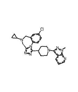 Cn1nc(N2CCC(c3nnc4n3-c3ccc(Cl)cc3CN(C3CC3)C4)CC2)c2cccnc21